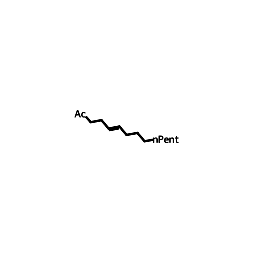 CCCCCCCCC=CCCC(C)=O